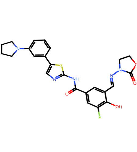 O=C(Nc1ncc(-c2cccc(N3CCCC3)c2)s1)c1cc(F)c(O)c(C=NN2CCOC2=O)c1